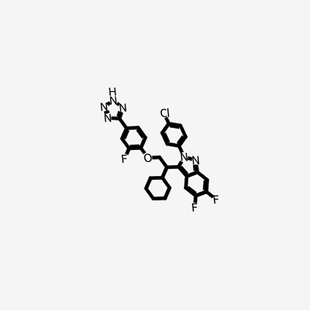 Fc1cc2nn(-c3ccc(Cl)cc3)c(C(COc3ccc(-c4nn[nH]n4)cc3F)C3CCCCC3)c2cc1F